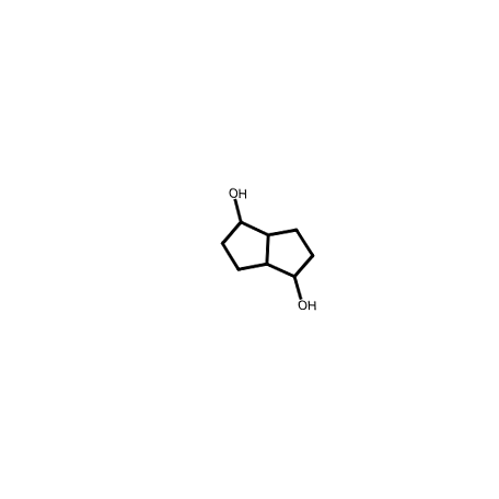 OC1CCC2C(O)CCC12